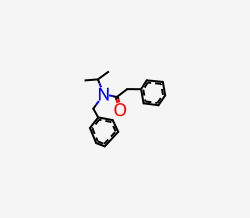 CC(C)N(Cc1ccccc1)C(=O)Cc1ccccc1